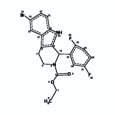 CCOC(=O)N1CCc2c([nH]c3ccc(Br)cc23)C1c1cc(F)ccc1F